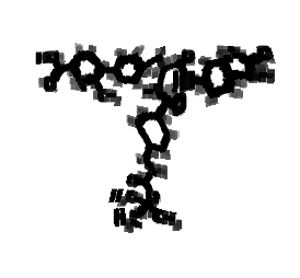 Cc1nc(C(=O)O)ccc1-c1ccc(C[C@H](NC(=O)C2CCC(CNC(=O)OC(C)(C)C)CC2)C(=O)Nc2ccc3[nH]c(=O)[nH]c3c2)cc1